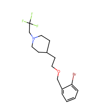 FC(F)(F)CN1CCC(CCOCc2ccccc2Br)CC1